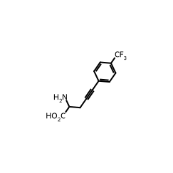 NC(CC#Cc1ccc(C(F)(F)F)cc1)C(=O)O